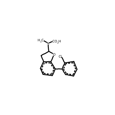 CN(C(=O)O)C1Cc2cccc(-c3ccccc3Cl)c2O1